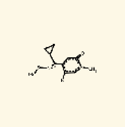 Cn1cc(Br)c([C@@H](NSC(C)(C)C)C2CC2)cc1=O